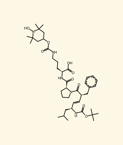 CC(C)C[C@@H](/C=C/[C@H](Cc1ccccc1)C(=O)N1CCC[C@H]1C(=O)N[C@@H](CCCNC(=O)OC1CC(C)(C)N(O)C(C)(C)C1)C(=O)O)NC(=O)OC(C)(C)C